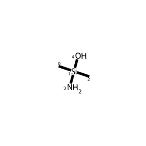 C[Si](C)(N)O